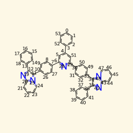 c1ccc(-c2cc(-c3ccc(-c4c(-c5ccccc5)nc5ccccn45)cc3)nc(-c3ccc(-c4c(-c5ccccc5)nc5ccccn45)cc3)c2)cc1